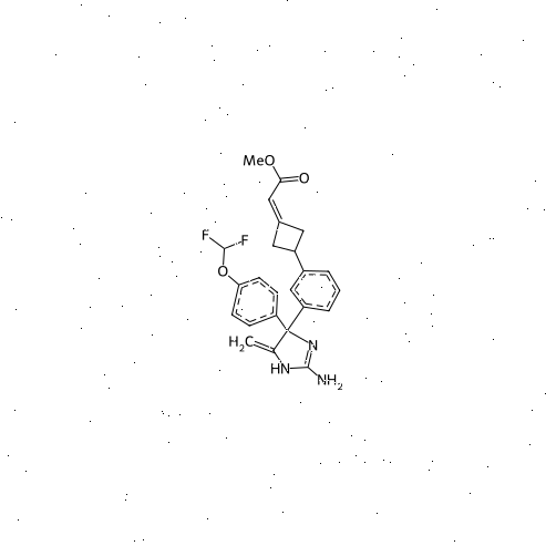 C=C1NC(N)=NC1(c1ccc(OC(F)F)cc1)c1cccc(C2CC(=CC(=O)OC)C2)c1